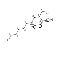 CCCCCCC(=O)C=C(CC)C(=O)O